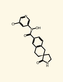 O=C(c1ccc2c(c1)CC[C@]1(CCNC1=O)C2)N(O)c1cncc(Cl)c1